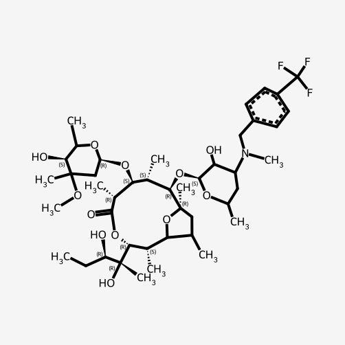 CC[C@@H](O)[C@@](C)(O)[C@@H]1OC(=O)[C@H](C)[C@@H](O[C@H]2CC(C)(OC)[C@@H](O)C(C)O2)[C@H](C)[C@@H](O[C@@H]2OC(C)CC(N(C)Cc3ccc(C(F)(F)F)cc3)C2O)[C@@]2(C)CC(C)C(O2)[C@@H]1C